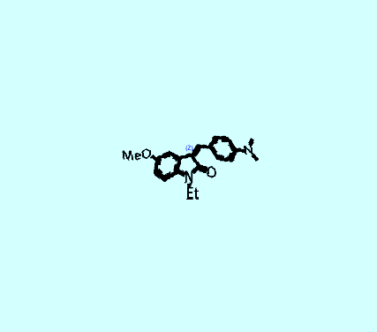 CCN1C(=O)/C(=C\c2ccc(N(C)C)cc2)c2cc(OC)ccc21